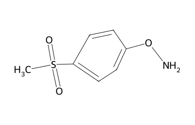 CS(=O)(=O)c1ccc(ON)cc1